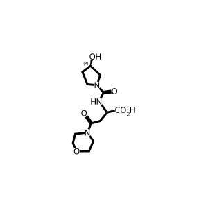 O=C(O)C(CC(=O)N1CCOCC1)NC(=O)N1CC[C@@H](O)C1